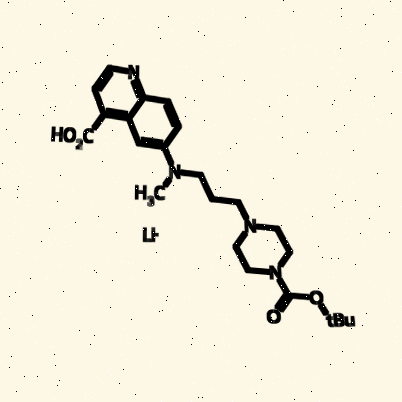 CN(CCCN1CCN(C(=O)OC(C)(C)C)CC1)c1ccc2nccc(C(=O)O)c2c1.[Li]